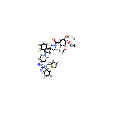 COc1cc(C(=O)N2CCC(CCN3CCC(Nc4nc5ccccc5n4Cc4cccs4)CC3)(c3ccc(F)c(F)c3)C2)cc(OC)c1OC